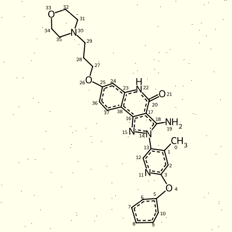 Cc1cc(Oc2ccccc2)ncc1-n1nc2c(c1N)c(=O)[nH]c1cc(OCCCN3CCOCC3)ccc12